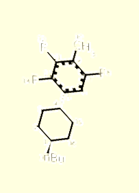 CCCC[C@H]1CC[C@H](c2cc(F)c(C)c(F)c2F)CC1